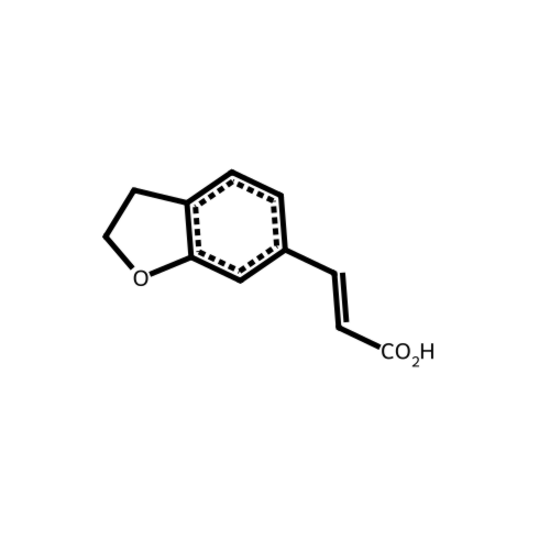 O=C(O)C=Cc1ccc2c(c1)OCC2